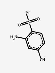 CC(C)S(=O)(=O)c1ccc(C#N)cc1N